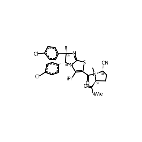 CNC(=O)[C@@H]1CC[C@@H](C#N)[N+]1(C)C(=O)C1=C(C(C)C)N2C(=N[C@@](C)(c3ccc(Cl)cc3)[C@H]2c2ccc(Cl)cc2)S1